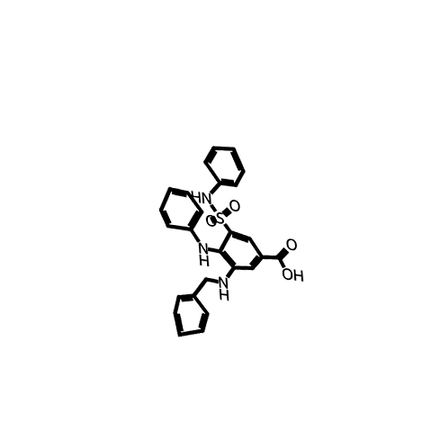 O=C(O)c1cc(NCc2ccccc2)c(Nc2ccccc2)c(S(=O)(=O)Nc2ccccc2)c1